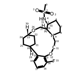 CS(=O)(=O)N[C@H]1CCCN2CCOc3c(F)cccc3[C@H]3CC[C@H](CC3)OC[C@@H]12